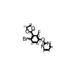 Fc1c(Oc2ncccn2)ccc(Br)c1C1OCCO1